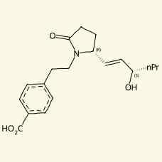 CCC[C@H](O)C=C[C@H]1CCC(=O)N1CCc1ccc(C(=O)O)cc1